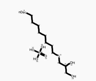 CCCCCCCCCCCCCCCCCCSCC(O)CO.O=P(O)(O)O